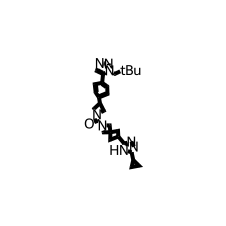 CC(C)(C)Cn1nncc1-c1ccc(C2CN(C(=O)N3CC4(CC(c5nnc(C6CC6)[nH]5)C4)C3)C2)cc1